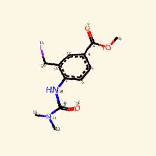 COC(=O)c1ccc(NC(=O)N(C)C)c(CI)c1